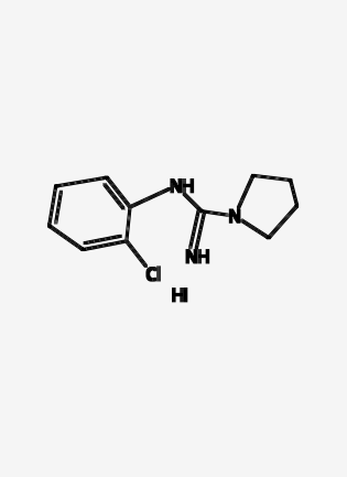 I.N=C(Nc1ccccc1Cl)N1CCCC1